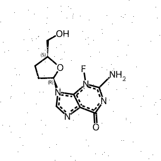 Nc1nc(=O)c2ncn([C@H]3CC[C@@H](CO)O3)c2n1F